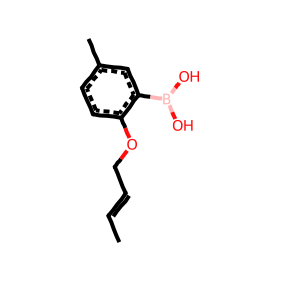 C/C=C/COc1ccc(C)cc1B(O)O